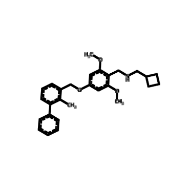 COc1cc(OCc2cccc(-c3ccccc3)c2C)cc(OC)c1CNCC1CCC1